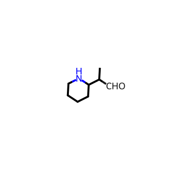 CC(C=O)C1CCCCN1